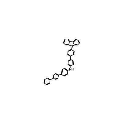 c1ccc(-c2ccc(-c3ccc(Nc4ccc(-c5ccc(-n6c7ccccc7c7ccccc76)cc5)cc4)cc3)cc2)cc1